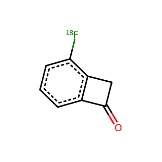 O=C1Cc2c([18F])cccc21